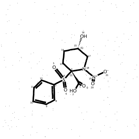 O=C(O)[C@@]1(S(=O)(=O)c2ccccc2)CC[C@H](O)CN1[N+](=O)[O-]